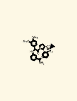 CCOC(=O)[C@H]1CCN(C(=O)C(Nc2cccc(C(N)=O)c2)c2ccc(OC)c(OC)c2)[C@H]1c1ccccc1S(=O)(=O)C1CC1